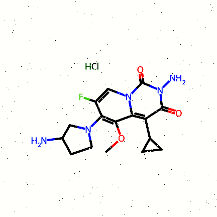 COc1c(N2CCC(N)C2)c(F)cn2c(=O)n(N)c(=O)c(C3CC3)c12.Cl